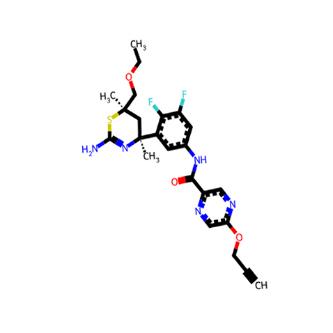 C#CCOc1cnc(C(=O)Nc2cc(F)c(F)c([C@]3(C)C[C@](C)(COCC)SC(N)=N3)c2)cn1